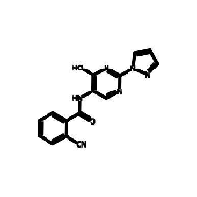 N#Cc1ccccc1C(=O)Nc1cnc(-n2cccn2)nc1O